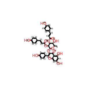 CC1O[C@@H](Oc2c(-c3ccc(O)cc3)oc3cc(O)cc(O)c3c2=O)C(OC(=O)/C=C/c2ccc(O)cc2)C(OC(=O)/C=C/c2ccc(O)cc2)[C@H]1O